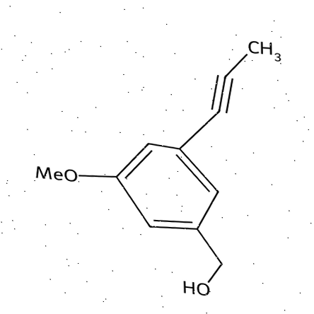 CC#Cc1cc(CO)cc(OC)c1